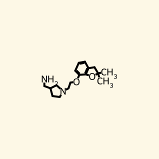 CC1(C)Cc2cccc(OCCN3CCC(CN)C3)c2O1